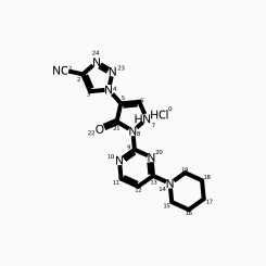 Cl.N#Cc1cn(-c2c[nH]n(-c3nccc(N4CCCCC4)n3)c2=O)nn1